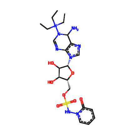 CC[N+](CC)(CC)N1C=Nc2c(ncn2[C@@H]2O[C@H](COS(=O)(=O)Nn3ccccc3=O)C(O)C2O)C1N